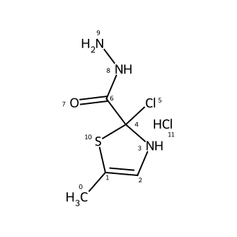 CC1=CNC(Cl)(C(=O)NN)S1.Cl